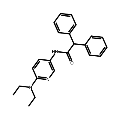 CCN(CC)c1ccc(NC(=O)C(c2ccccc2)c2ccccc2)cn1